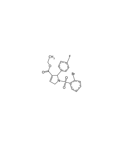 CCOC(=O)C1=CCN(S(=O)(=O)c2ccccc2Br)C1c1ccc(F)cc1